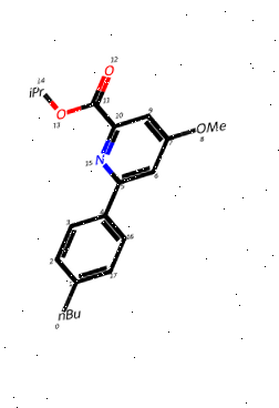 CCCCc1ccc(-c2cc(OC)cc(C(=O)OC(C)C)n2)cc1